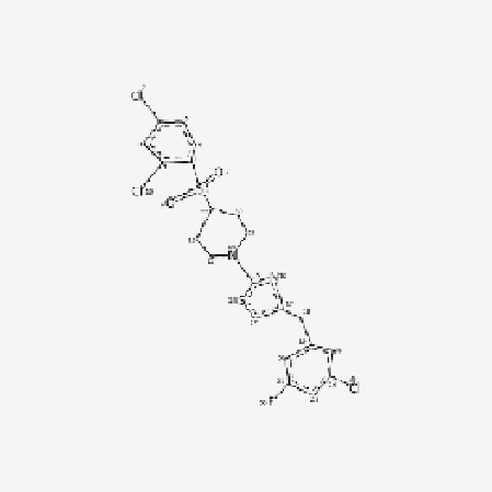 O=S(=O)(c1ccc(Cl)cc1Cl)C1CCN(c2nc(Cc3cc(F)cc(Cl)c3)cs2)CC1